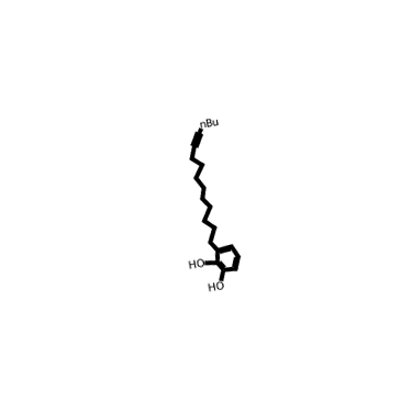 CCCCC#CCCCCCCCCCc1cccc(O)c1O